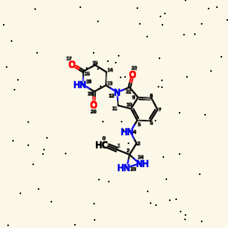 C#CC1(CNc2cccc3c2CN(C2CCC(=O)NC2=O)C3=O)NN1